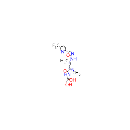 C=N/C(=C\C=C(/C)Nc1ncc(-c2ccc(C(F)(F)F)cn2)o1)C(=O)NC[C@@H](O)CO